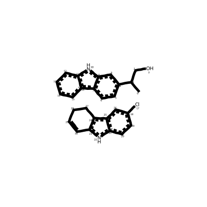 CC(CO)c1ccc2c(c1)[nH]c1ccccc12.Clc1ccc2[nH]c3c(c2c1)CCC=C3